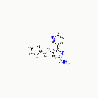 Nc1nc(-c2cccnc2)c(CCc2ccccc2)s1